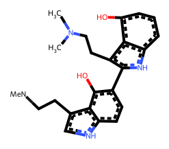 CNCCc1c[nH]c2ccc(-c3[nH]c4cccc(O)c4c3CCN(C)C)c(O)c12